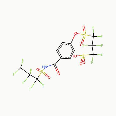 O=C(NS(=O)(=O)C(F)(F)C(F)(F)C(F)F)c1ccc(OS(=O)(=O)C(F)(F)C(F)(F)C(F)(F)S(=O)(=O)O)cc1